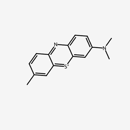 Cc1ccc2nc3ccc(N(C)C)cc3[s+]c2c1